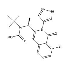 C[C@@H](c1nc2cccc(Cl)c2c(=O)n1-c1cn[nH]c1)N(C(=O)O)C(C)(C)C